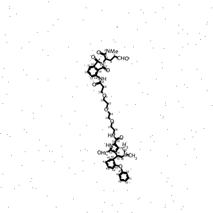 CNC(=O)C(CCC=O)N1C(=O)c2cccc(NC(=O)CCOCCOCCOCCNC(=O)c3cc(/C(=C\N(C)C)c4ccccc4Oc4ccccc4)c(C=O)[nH]3)c2C1=O